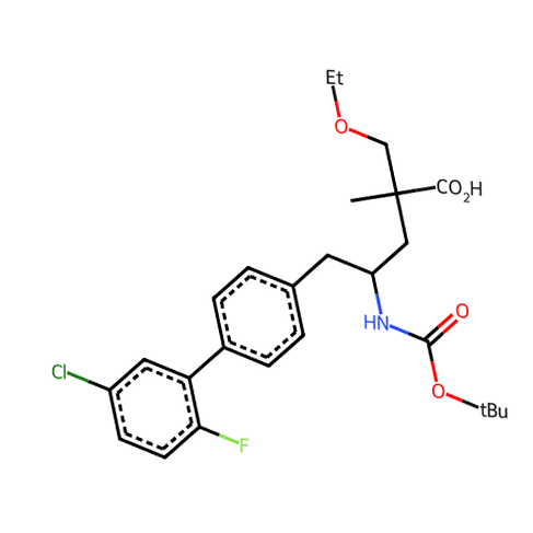 CCOCC(C)(CC(Cc1ccc(-c2cc(Cl)ccc2F)cc1)NC(=O)OC(C)(C)C)C(=O)O